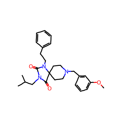 COc1cccc(CN2CCC3(CC2)C(=O)N(CC(C)C)C(=O)N3CCc2ccccc2)c1